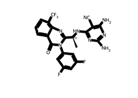 C[C@H](Nc1nc(N)nc(N)c1C#N)c1nc2c(C(F)(F)F)cccc2c(=O)n1-c1cc(F)cc(F)c1